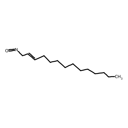 CCCCCCCCCCCC=CCN=O